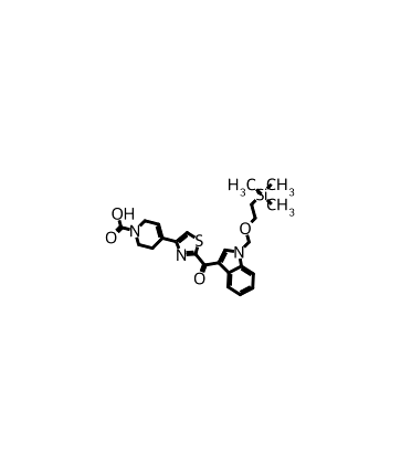 C[Si](C)(C)CCOCn1cc(C(=O)c2nc(C3=CCN(C(=O)O)CC3)cs2)c2ccccc21